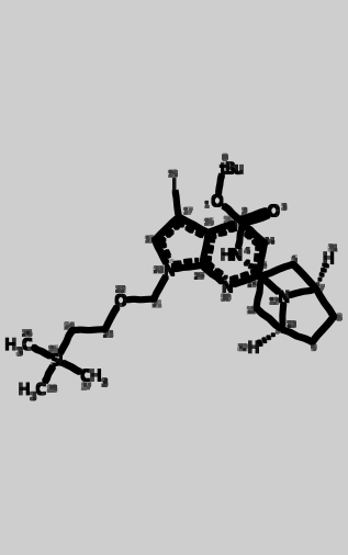 CC(C)(C)OC(=O)N[C@@H]1C[C@H]2CC[C@@H](C1)N2c1cnc2c(I)cn(COCC[Si](C)(C)C)c2n1